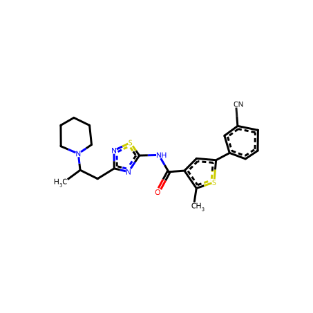 Cc1sc(-c2cccc(C#N)c2)cc1C(=O)Nc1nc(CC(C)N2CCCCC2)ns1